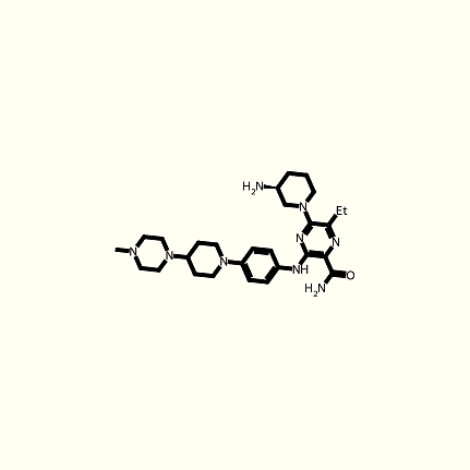 CCc1nc(C(N)=O)c(Nc2ccc(N3CCC(N4CCN(C)CC4)CC3)cc2)nc1N1CCC[C@H](N)C1